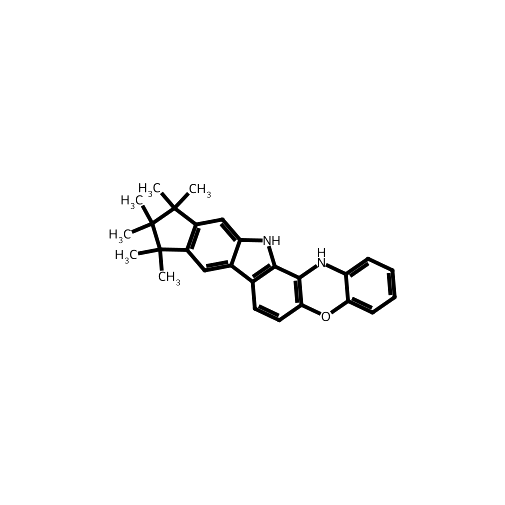 CC1(C)c2cc3[nH]c4c5c(ccc4c3cc2C(C)(C)C1(C)C)Oc1ccccc1N5